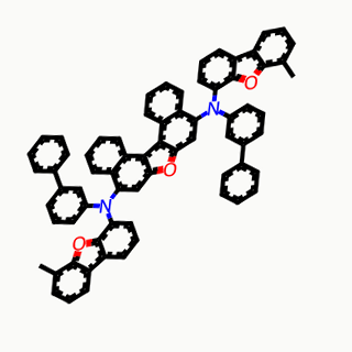 Cc1cccc2c1oc1c(N(c3cccc(-c4ccccc4)c3)c3cc4oc5cc(N(c6cccc(-c7ccccc7)c6)c6cccc7c6oc6c(C)cccc67)c6ccccc6c5c4c4ccccc34)cccc12